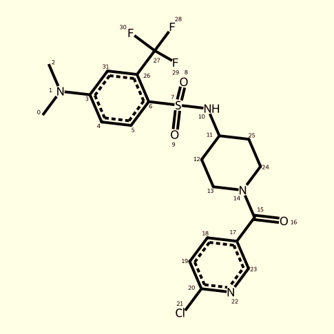 CN(C)c1ccc(S(=O)(=O)NC2CCN(C(=O)c3ccc(Cl)nc3)CC2)c(C(F)(F)F)c1